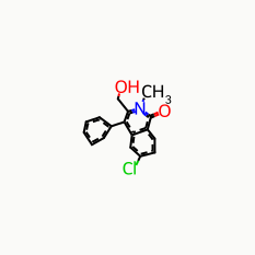 Cn1c(CO)c(-c2ccccc2)c2cc(Cl)ccc2c1=O